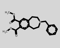 COC(=O)c1cc2c(cc1C(=O)OC)CCN(Cc1ccccc1)CC2